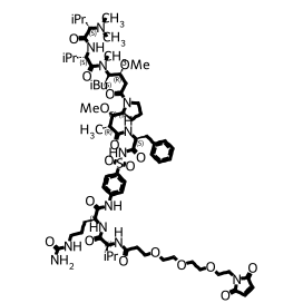 CC[C@H](C)C([C@@H](CC(=O)N1CCC[C@H]1[C@H](OC)[C@@H](C)C(=O)N[C@@H](Cc1ccccc1)C(=O)NS(=O)(=O)c1ccc(NC(=O)[C@H](CCCNC(N)=O)NC(=O)[C@@H](NC(=O)CCOCCOCCOCCN2C(=O)C=CC2=O)C(C)C)cc1)OC)N(C)C(=O)[C@@H](NC(=O)[C@H](C(C)C)N(C)C)C(C)C